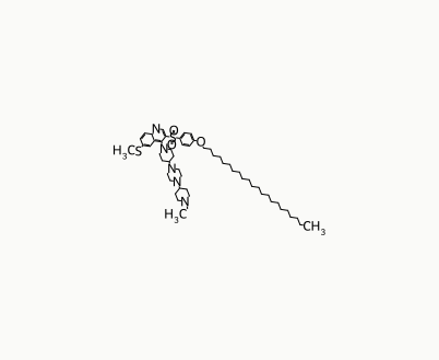 CCCCCCCCCCCCCCCCCCCCCCOc1ccc(S(=O)(=O)c2cnc3ccc(SC)cc3c2N2CCC(N3CCN(C4CCN(CC)CC4)CC3)CC2)cc1